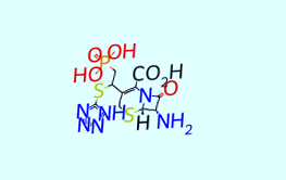 N[C@@H]1C(=O)N2C(C(=O)O)=C(C(CP(=O)(O)O)Sc3nnn[nH]3)CS[C@@H]12